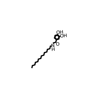 CCCCCCCCCCCCCCNCC(=O)c1ccc(O)c(O)c1